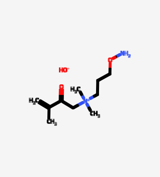 C=C(C)C(=O)C[N+](C)(C)CCCON.[OH-]